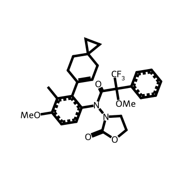 COc1ccc(N(C(=O)C(OC)(c2ccccc2)C(F)(F)F)N2CCOC2=O)c(C2=CCC3(CC2)CC3)c1C